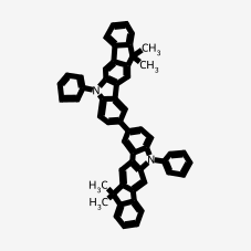 CC1(C)c2ccccc2-c2cc3c(cc21)c1cc(-c2ccc4c(c2)c2cc5c(cc2n4-c2ccccc2)-c2ccccc2C5(C)C)ccc1n3-c1ccccc1